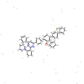 c1ccc(-c2nc(-c3ccc(-c4ccc(-c5ccc6c(c5)sc5ccccc56)c5c4oc4ccccc45)cc3)cc(-c3ccccc3-c3cccnc3)n2)cc1